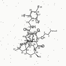 CCCCOc1c2n(cc(C(=O)NCc3c(F)cc(F)cc3F)c1=O)[C@@H]1CN(C2=O)[C@@H](C)CCC12CC(C)=NN2c1ccccc1